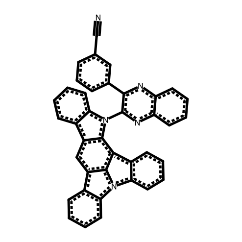 N#Cc1cccc(-c2nc3ccccc3nc2-n2c3ccccc3c3cc4c5ccccc5n5c6ccccc6c(c32)c45)c1